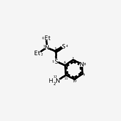 CCN(CC)C(=S)Sc1cnccc1N